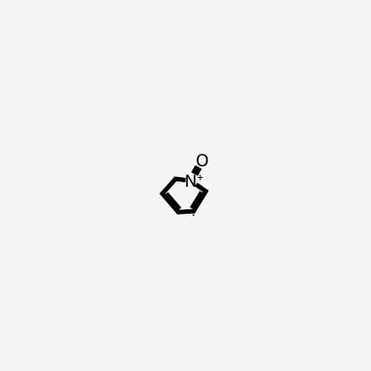 O=[N+]1C=[C]C=CC1